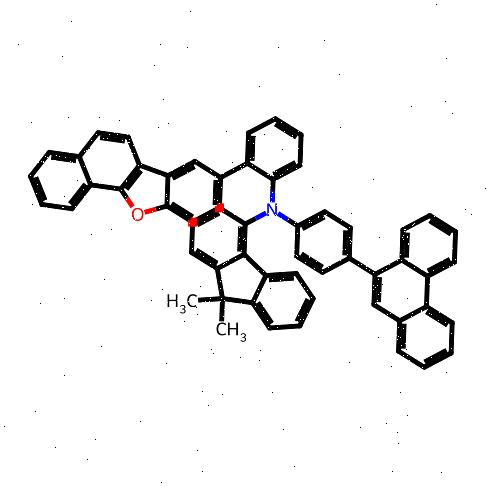 CC1(C)c2ccccc2-c2c(N(c3ccc(-c4cc5ccccc5c5ccccc45)cc3)c3ccccc3-c3ccc4oc5c6ccccc6ccc5c4c3)cccc21